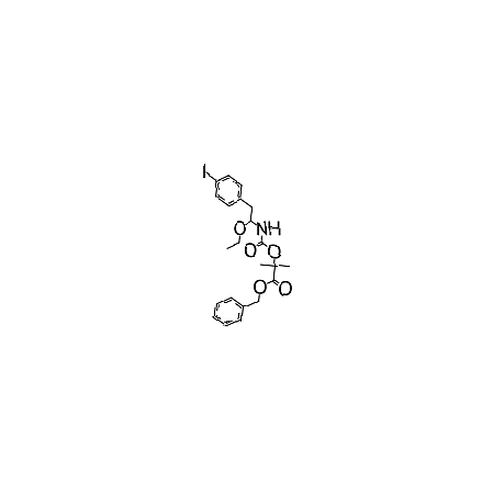 CCOC(Cc1ccc(I)cc1)NC(=O)OC(C)(C)C(=O)OCc1ccccc1